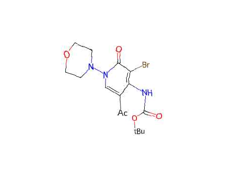 CC(=O)c1cn(N2CCOCC2)c(=O)c(Br)c1NC(=O)OC(C)(C)C